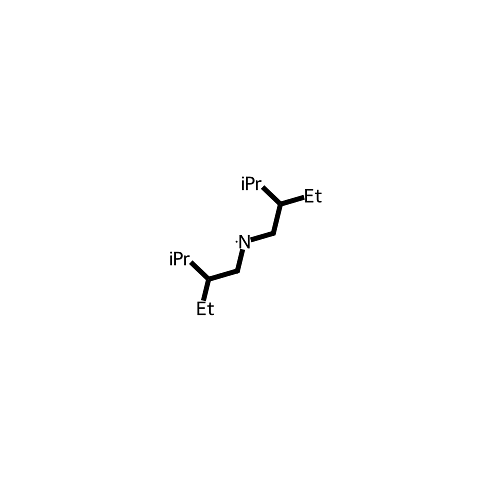 CCC(C[N]CC(CC)C(C)C)C(C)C